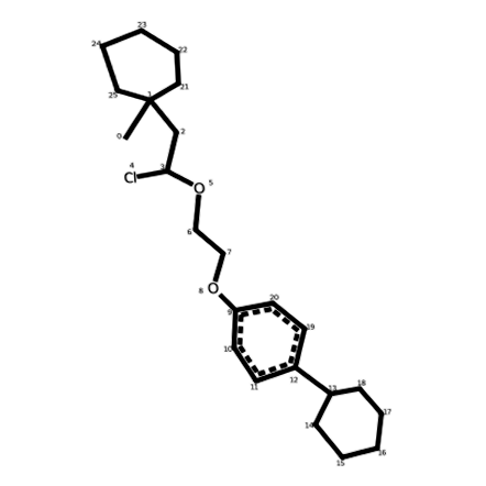 CC1(CC(Cl)OCCOc2ccc(C3CCCCC3)cc2)CCCCC1